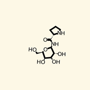 O=C(N[C@@H]1O[C@H](CO)[C@@H](O)[C@H](O)[C@H]1O)[C@@H]1CCCN1